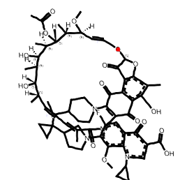 COc1c(N2CCC(C3(N(C)C4CCN(C5=C6NC(=O)/C(C)=C\C=C\[C@H](C)[C@H](O)[C@@H](C)[C@@H](O)[C@@H](C)[C@H](OC(C)=O)[C@H](C)[C@@H](OC)/C=C/O[C@@]7(C)Oc8c(C)c(O)c(c(c8C7=O)C5=O)C6=O)CC4)CC3)C2)c(F)cc2c(=O)c(C(=O)O)cn(C3CC3)c12